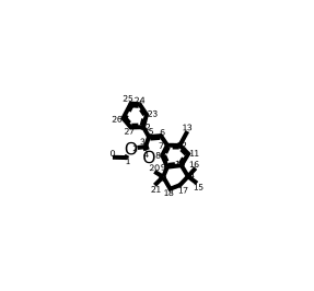 CCOC(=O)C(=Cc1cc2c(cc1C)C(C)(C)CCC2(C)C)c1ccccc1